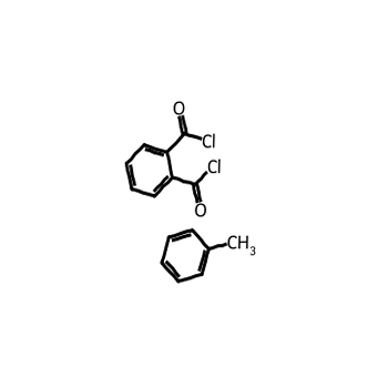 Cc1ccccc1.O=C(Cl)c1ccccc1C(=O)Cl